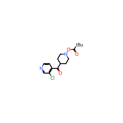 CC(C)(C)C(=O)ON1CCC(C(=O)c2ccncc2Cl)CC1